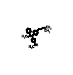 CBc1ccc(/C(=C(\CC)c2ccccc2)c2ccc(CCCN(C)C)cc2)cc1